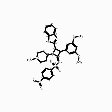 COc1cc(OC)cc(C2C(=NS(=O)(=O)c3ccc([N+](=O)[O-])cc3)N(C3CCN(C)CC3)C2c2nc3ccccc3s2)c1